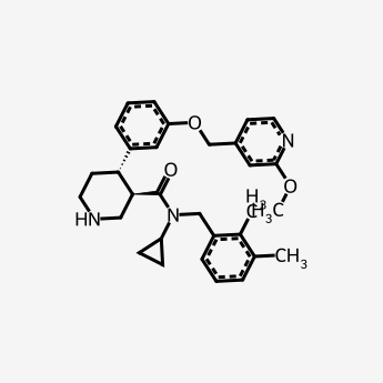 COc1cc(COc2cccc([C@H]3CCNC[C@@H]3C(=O)N(Cc3cccc(C)c3C)C3CC3)c2)ccn1